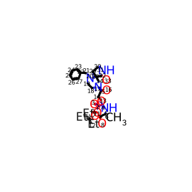 CCOP(=O)(NC(C)C(=O)OC(CC)CC)OCC(=O)N1CCN(Cc2ccccc2)C2(CCNC2=O)C1